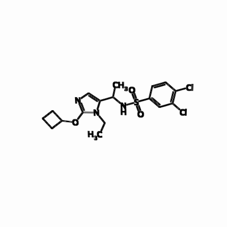 CCn1c(C(C)NS(=O)(=O)c2ccc(Cl)c(Cl)c2)cnc1OC1CCC1